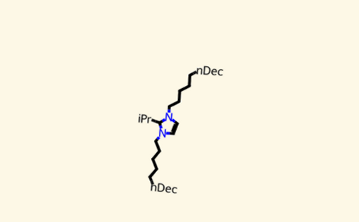 CCCCCCCCCCCCCCCN1C=CN(CCCCCCCCCCCCCCC)C1C(C)C